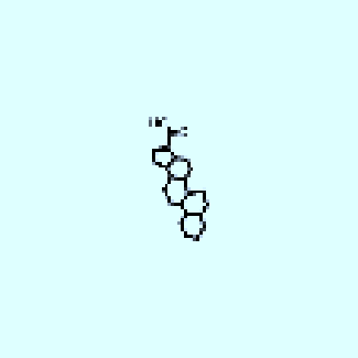 O=C(O)C1=CCC2C1CCC1C2CCC2C3CCCCC3CCC21